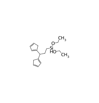 CCO[SiH](CCC(C1=CC=CC1)C1=CC=CC1)OCC